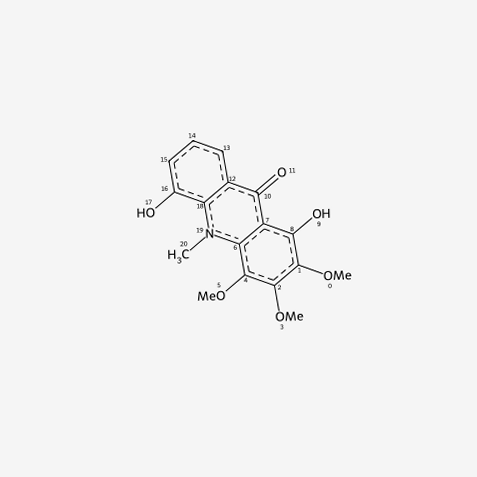 COc1c(OC)c(OC)c2c(c1O)c(=O)c1cccc(O)c1n2C